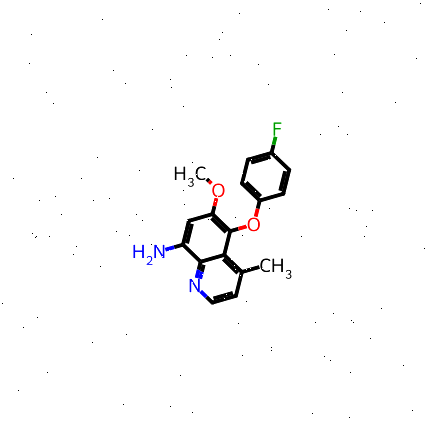 COc1cc(N)c2nccc(C)c2c1Oc1ccc(F)cc1